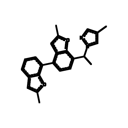 Cc1cnn(C(C)c2ccc(-c3cccc4cc(C)oc34)c3cc(C)oc23)c1